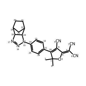 CC1(C)OC(=C(C#N)C#N)C(C#N)=C1c1ccc(N2N=NC3C4CCC(C4)C32)cc1